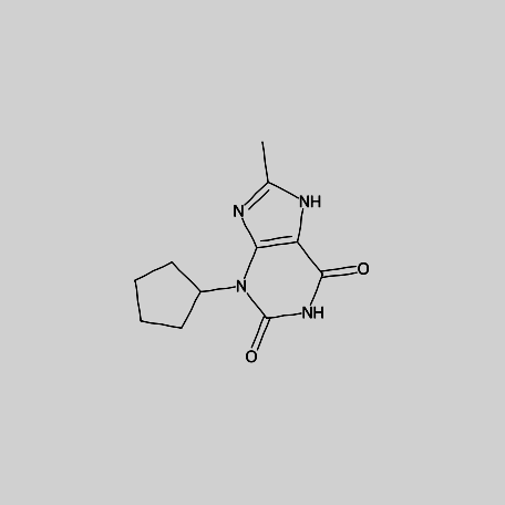 Cc1nc2c([nH]1)c(=O)[nH]c(=O)n2C1CCCC1